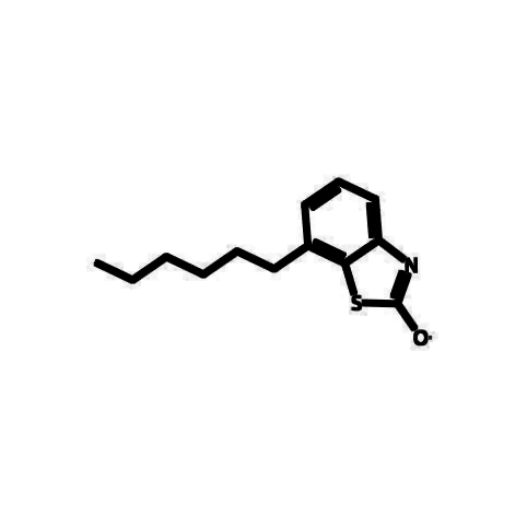 CCCCCCc1cccc2nc([O])sc12